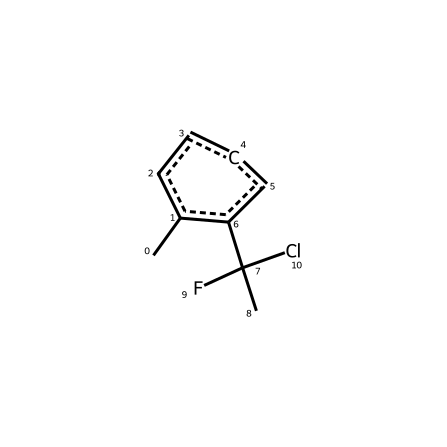 Cc1ccccc1C(C)(F)Cl